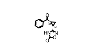 O=C(c1ccccc1)[C@H]1C[C@@H]1c1noc(=O)[nH]1